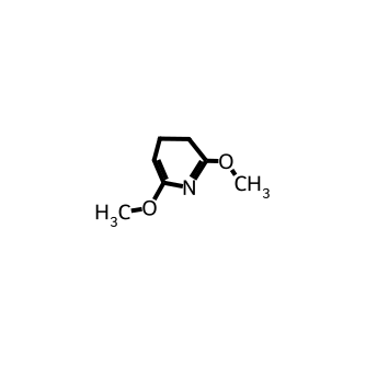 COC1=CCCC(OC)=N1